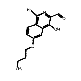 CCCCOc1ccc2c(Br)nc([C]=O)c(O)c2c1